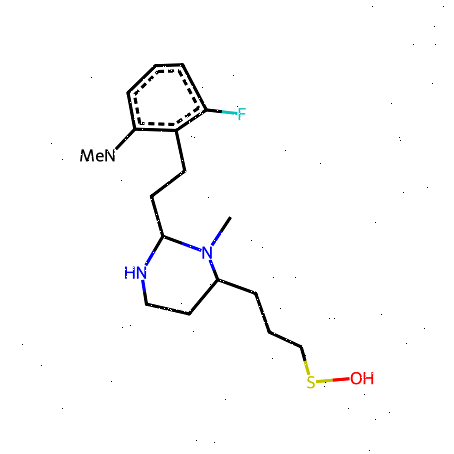 CNc1cccc(F)c1CCC1NCCC(CCCSO)N1C